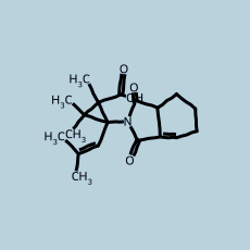 CC(C)=CC1(N2C(=O)C3=CCCCC3C2=O)C(C)(C)C1(C)C(=O)O